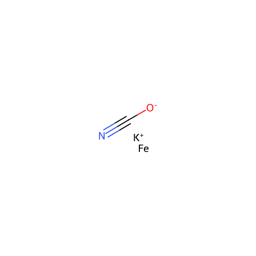 N#C[O-].[Fe].[K+]